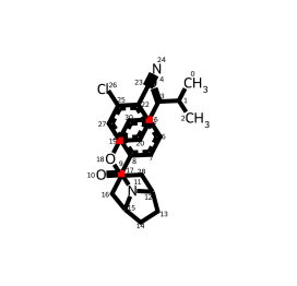 CC(C)C(=O)c1ccc(C(=O)N2C3CCC2CC(Oc2ccc(C#N)c(Cl)c2)C3)cc1